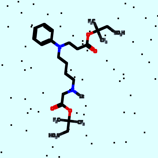 CCN(CCCCN(CCC(=O)OC(CS(=O)(=O)O)(C(F)(F)F)C(F)(F)F)c1ccccc1)CC(=O)OC(CS(=O)(=O)O)(C(F)(F)F)C(F)(F)F